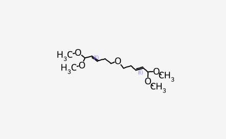 COC(/C=C/CCOCC/C=C/C(OC)OC)OC